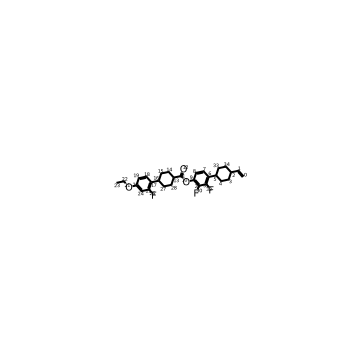 C=CC1CCC(c2ccc(OC(=O)C3CCC(c4ccc(OCC)cc4F)CC3)c(F)c2F)CC1